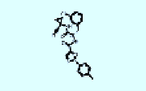 Cc1ccc(-n2ncc(C(=O)N[C@@H](Cc3cccc(Cl)c3)C(=O)NC3(C#N)CC3)n2)cc1